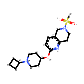 CC(C)S(=O)(=O)N1CCc2nc(OC3CCN(C4CCC4)CC3)ccc2C1